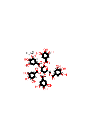 O=C(OC[C@H]1OC(OC(=O)c2cc(O)c(O)c(O)c2)[C@H](OC(=O)c2cc(O)c(O)c(O)c2)[C@@H](OC(=O)c2cc(O)c(O)c(O)c2)[C@@H]1OC(=O)c1cc(O)c(O)c(O)c1)c1cc(O)c(O)c(O)c1.[GeH4]